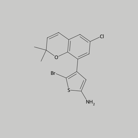 CC1(C)C=Cc2cc(Cl)cc(-c3cc(N)sc3Br)c2O1